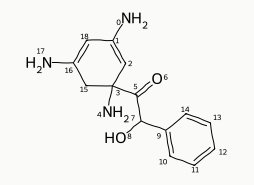 NC1=CC(N)(C(=O)C(O)c2ccccc2)CC(N)=C1